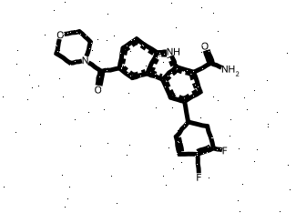 NC(=O)c1cc(C2C=CC(F)=C(F)C2)cc2c1[nH]c1ccc(C(=O)N3CCOCC3)cc12